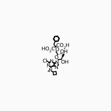 C#C[C@@H](O)[C@@H](O[C@@H](CO)COC(Cc1ccccc1)(C(=O)O)C(=O)O)n1cnc2c(N(C)C3CCC3)nc(Cl)nc21